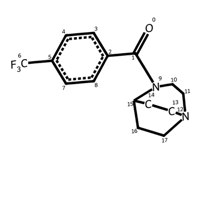 O=C(c1ccc(C(F)(F)F)cc1)N1CCN2CCC1CC2